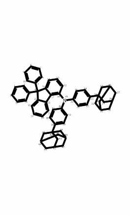 c1ccc(C2(c3ccccc3)c3ccccc3-c3c(N(c4ccc(C56CC7CC(CC(C7)C5)C6)cc4)c4ccc(C56CC7CC(CC(C7)C5)C6)cc4)cccc32)cc1